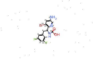 Nc1cnc(C(Cc2cc(F)cc(F)c2)NC(=O)O)c(Br)c1